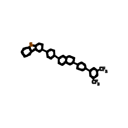 FC(F)(F)c1cc(-c2ccc(-c3ccc4cc(-c5ccc(-c6ccc7sc8ccccc8c7c6)cc5)ccc4c3)cc2)cc(C(F)(F)F)c1